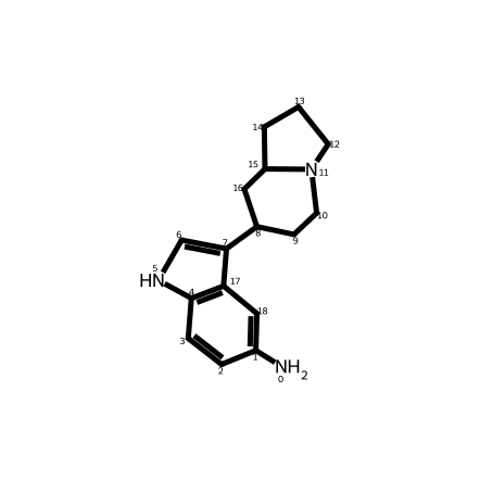 Nc1ccc2[nH]cc(C3CCN4CCCC4C3)c2c1